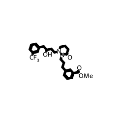 COC(=O)c1cccc(CCCN2C(=O)CCCN2CCC(O)Cc2cccc(C(F)(F)F)c2)c1